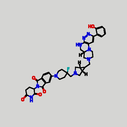 O=C1CCC(N2C(=O)c3ccc(N4CCC(F)(CN5C[C@@H]6C(CN7CCN8c9cc(-c%10ccccc%10O)nnc9NC[C@H]8C7)[C@@H]6C5)CC4)cc3C2=O)C(=O)N1